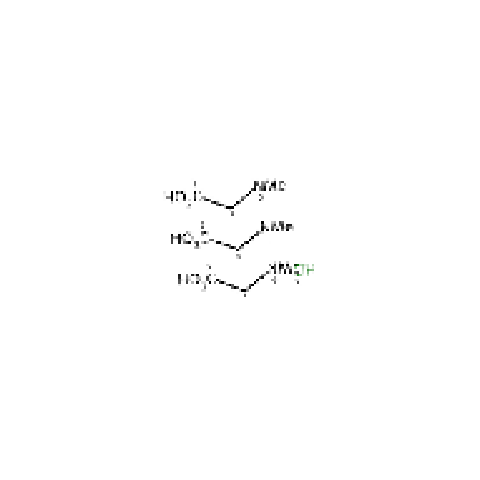 CNCC(=O)O.CNCC(=O)O.CNCC(=O)O.Cl